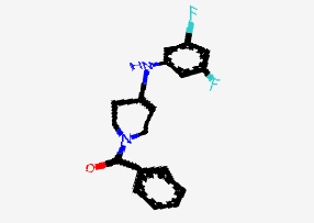 O=C(c1ccccc1)N1CCC(Nc2cc(F)cc(F)c2)CC1